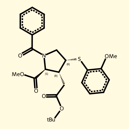 COC(=O)[C@@H]1[C@@H](CC(=O)OC(C)(C)C)[C@@H](Sc2ccccc2OC)CN1C(=O)c1ccccc1